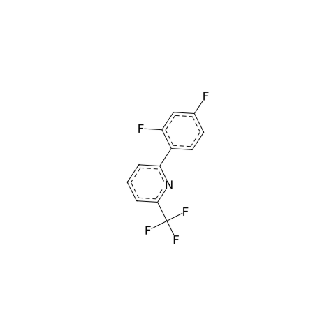 Fc1ccc(-c2cccc(C(F)(F)F)n2)c(F)c1